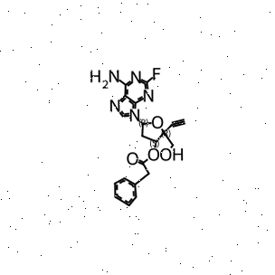 C#C[C@]1(CO)O[C@@H](n2cnc3c(N)nc(F)nc32)C[C@@H]1OC(=O)Cc1ccccc1